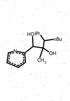 CCCCC(C(C)C)C(C)(O)C(O)c1ccccn1